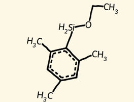 CCO[SiH2]c1c(C)cc(C)cc1C